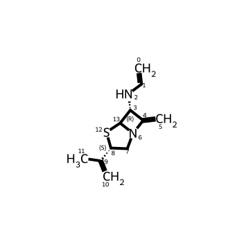 C=CN[C@@H]1C(=C)N2C[C@H](C(=C)C)SC12